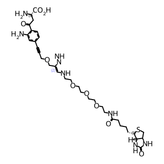 N=N/C(=C\NCCOCCOCCOCCNC(=O)CCCC[C@@H]1SCC2NC(=O)N[C@@H]21)COCC#Cc1ccc(C(=O)C[C@H](N)C(=O)O)c(N)c1